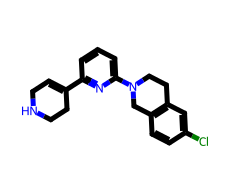 Clc1ccc2c(c1)CCN(c1cccc(C3=CCNCC3)n1)C2